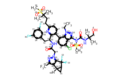 CC(C)(CO)NC(=O)N(c1nn(CC(F)(F)F)c2c(-c3ccc(CCC(C)(C)S(C)(=O)=O)nc3[C@H](Cc3cc(F)cc(F)c3)NC(=O)Cn3nc(C(F)(F)F)c4c3C(F)(F)C3C[C@H]43)ccc(Cl)c12)S(C)(=O)=O